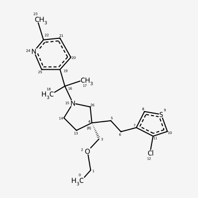 CCOC[C@]1(CCc2cscc2Cl)CCN(C(C)(C)c2ccc(C)nc2)C1